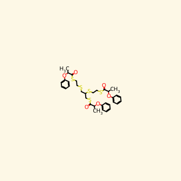 CC(Oc1ccccc1)C(=O)SCCSCC(CSC(=O)C(C)Oc1ccccc1)SCCSC(=O)C(C)Oc1ccccc1